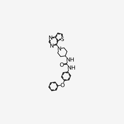 O=C(Nc1ccc(Oc2ccccc2)cc1)NC1CCN(c2ncnc3ccsc23)CC1